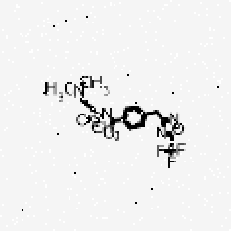 CN(C)CCS(C)(=O)=NC(=O)c1ccc(Cc2noc(C(F)(F)F)n2)cc1